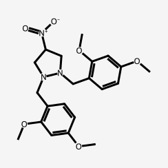 COc1ccc(CN2CC([N+](=O)[O-])CN2Cc2ccc(OC)cc2OC)c(OC)c1